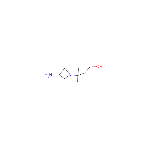 CC(C)(CCO)N1CC(N)C1